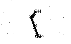 CCC[S+]([O-])CSCSCSCSCSC(=O)CSCSCSCSCC(=O)OCSCSCCO